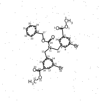 COC(=O)c1cc(Br)cc(CN(Cc2cc(Br)cc(C(=O)OC)c2)C(=O)OCc2ccccc2)c1